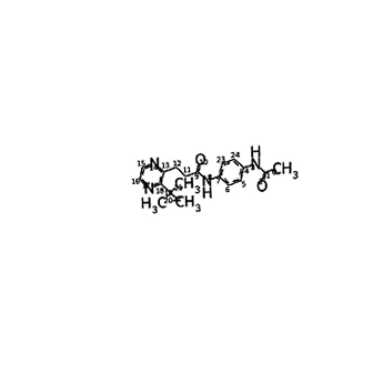 CC(=O)Nc1ccc(NC(=O)CCc2nccnc2C(C)(C)C)cc1